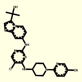 CC(C)(O)c1cnc2cc(Nc3ncc(Cl)c(NC4CCN(c5ccc(C#N)cn5)CC4)n3)ccn12